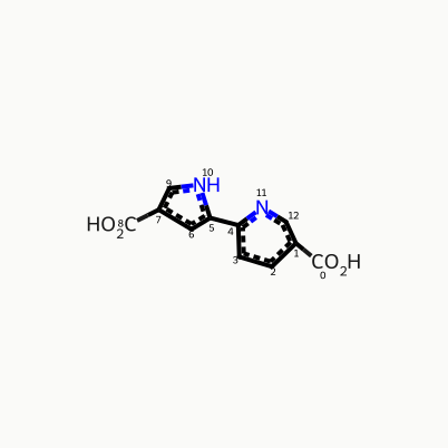 O=C(O)c1ccc(-c2cc(C(=O)O)c[nH]2)nc1